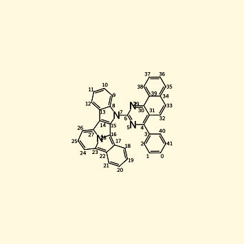 c1ccc(-c2nc(-n3c4ccccc4c4c3c3c5ccccc5c5cccc4n53)nc3c2ccc2ccccc23)cc1